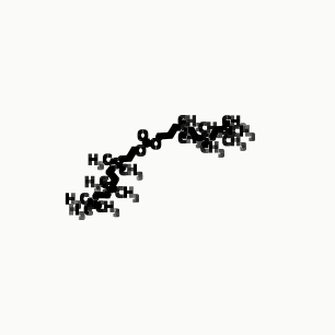 C[Si](C)(C)CC[Si](C)(C)CC[Si](C)(C)CCCOC(=O)OCCC[Si](C)(C)CC[Si](C)(C)CC[Si](C)(C)C